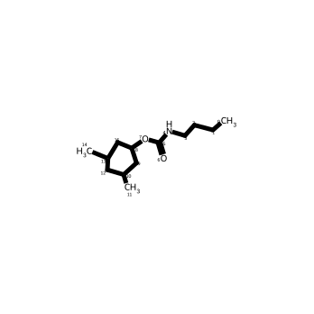 CCCCNC(=O)OC1CC(C)CC(C)C1